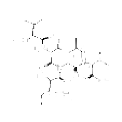 CC[C@@H](N)C(O)C(=O)N(C(=O)[C@@H](NC(=O)[C@@H](N)C(C)C)C(C)C)[C@H](CC(C)C)C(=O)N[C@H](C(=O)O)C(C)C